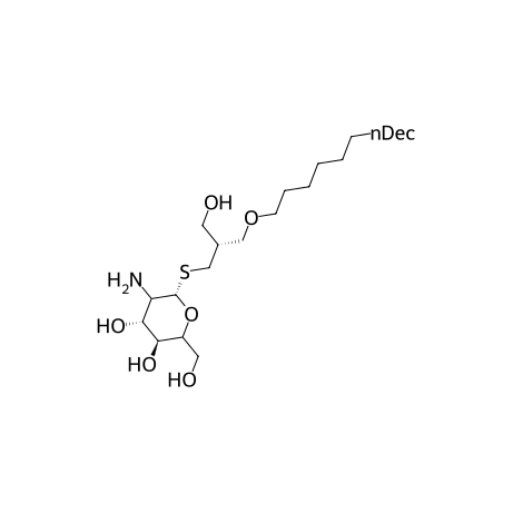 CCCCCCCCCCCCCCCCOC[C@@H](CO)CS[C@@H]1OC(CO)[C@@H](O)[C@H](O)C1N